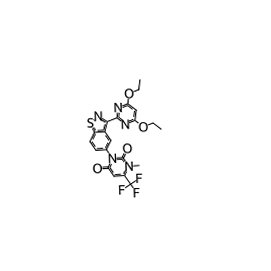 CCOc1cc(OCC)nc(-c2nsc3ccc(-n4c(=O)cc(C(F)(F)F)n(C)c4=O)cc23)n1